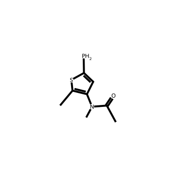 CC(=O)N(C)c1cc(P)sc1C